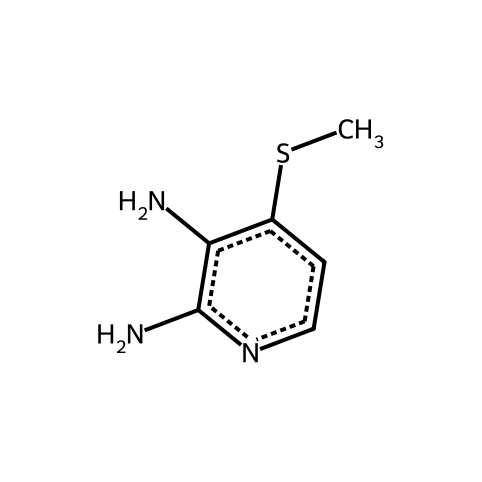 CSc1ccnc(N)c1N